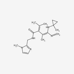 C=N/C(NC1(C)CC1)=C(\C)C(C(=O)NCc1nccn1C)=C(C)C